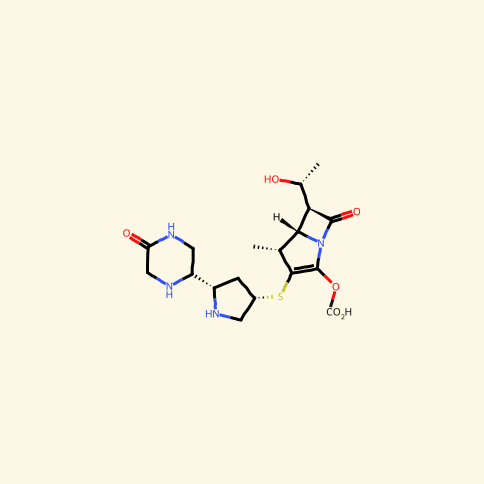 C[C@@H](O)[C@H]1C(=O)N2C(OC(=O)O)=C(S[C@@H]3CN[C@H](C4CNC(=O)CN4)C3)[C@H](C)[C@H]12